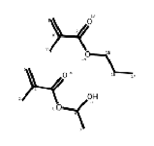 C=C(C)C(=O)OC(C)O.C=C(C)C(=O)OCCC